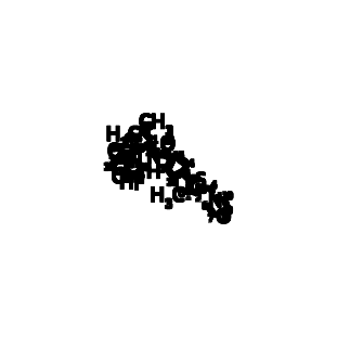 Cc1cc(CN2CCOCC2)sc1-c1ccc(C(=O)N[C@@H](CC(C)C)C(=O)N2C[C@H](F)[C@H]3OCC(=O)[C@H]32)cc1